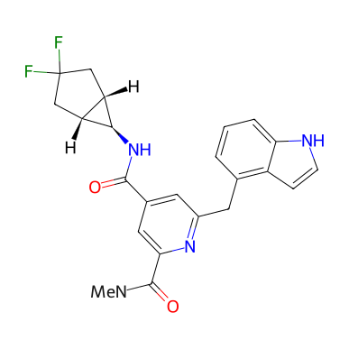 CNC(=O)c1cc(C(=O)N[C@H]2[C@@H]3CC(F)(F)C[C@@H]32)cc(Cc2cccc3[nH]ccc23)n1